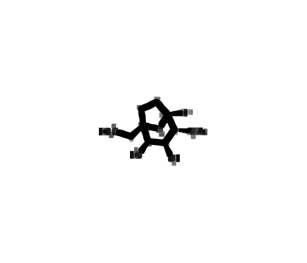 CC(=O)N[C@@H]1[C@@H](O)[C@@H](O)[C@]2(CC(=O)O)CC[C@H]1O2